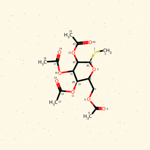 CS[C@H]1OC(COC(C)=O)[C@@H](OC(C)=O)C(OC(C)=O)C1OC(C)=O